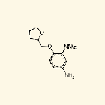 CNc1cc(N)ccc1OCC1CCCO1